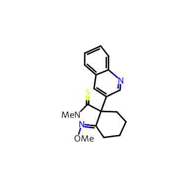 CNC(=S)C1(c2cnc3ccccc3c2)CCCCC1=NOC